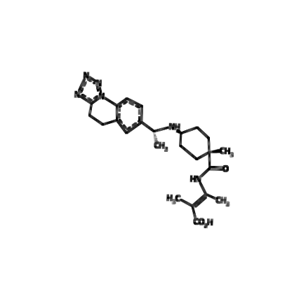 C/C(NC(=O)[C@]1(C)CC[C@@H](N[C@H](C)c2ccc3c(c2)CCc2nnnn2-3)CC1)=C(/C)C(=O)O